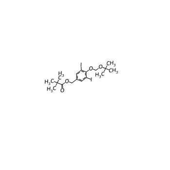 CC(C)(C)OCOc1c(I)cc(COC(=O)C(C)(C)C)cc1I